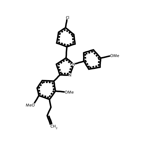 C=CCc1c(OC)ccc(-c2cc(-c3ccc(Cl)cc3)n(-c3ccc(OC)cc3)n2)c1OC